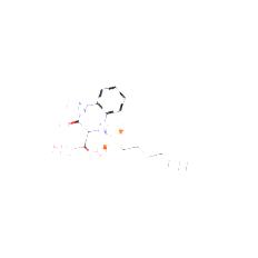 CCCCCS(=O)(=O)N1c2ccccc2NC(=O)C1C(=O)O